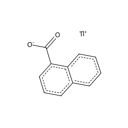 O=C([O-])c1cccc2ccccc12.[Tl+]